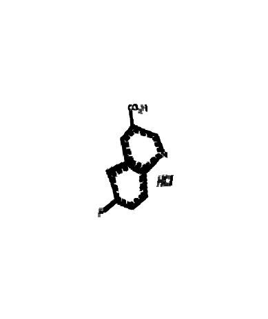 Cl.O=C(O)c1cnc2ccc(F)cc2c1